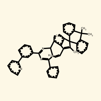 C/C=C\C1=C(C)C2(c3ccccc3C(C)(C)c3ccccc32)c2cccc(C3N=C(c4cccc(-c5ccccn5)c4)N=C(c4ccccc4)N3)c21